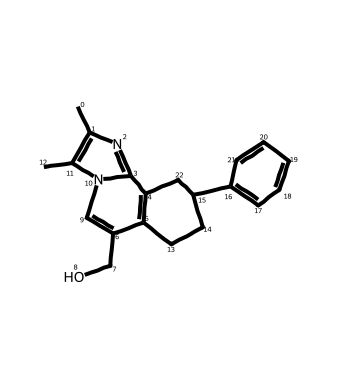 Cc1nc2c3c(c(CO)cn2c1C)CCC(c1ccccc1)C3